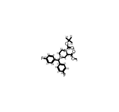 COC(=O)C1CN(C(c2ccc(F)cc2)c2ccc(F)cc2)CCN1C(=O)OC(C)(C)C